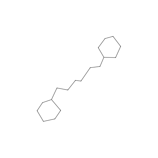 C(CCCC1CCCCC1)CCC1CCCCC1